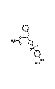 CCCCNc1ccc(S(=O)(=O)N2CC(C(Cc3ccccc3)C(C)(C)OC(N)=O)C2)cc1